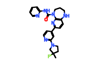 CC1(F)CCN(c2cc(-c3ccc4c(n3)N(C(=O)Nc3ccccn3)CCCN4)ccn2)C1